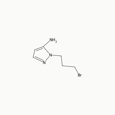 Nc1ccnn1CCCBr